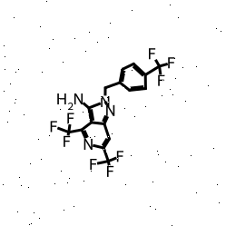 Nc1c2c(C(F)(F)F)nc(C(F)(F)F)cc2nn1Cc1ccc(C(F)(F)F)cc1